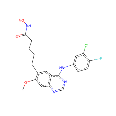 COc1cc2ncnc(Nc3ccc(F)c(Cl)c3)c2cc1CCCCC(=O)NO